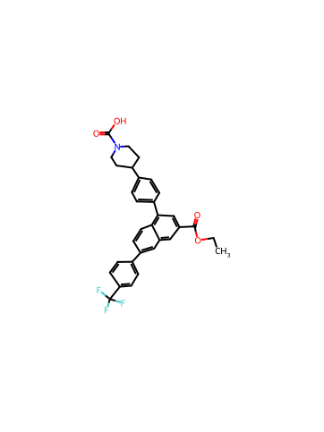 CCOC(=O)c1cc(-c2ccc(C3CCN(C(=O)O)CC3)cc2)c2ccc(-c3ccc(C(F)(F)F)cc3)cc2c1